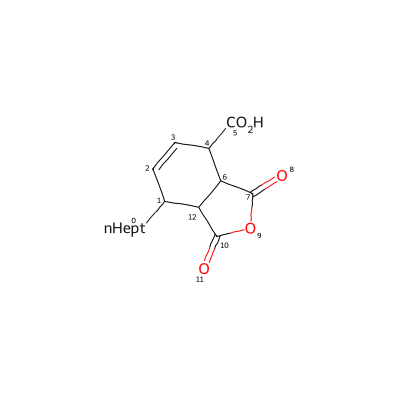 CCCCCCCC1C=CC(C(=O)O)C2C(=O)OC(=O)C12